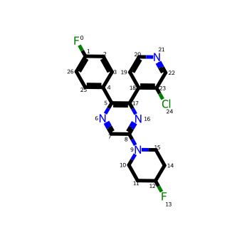 Fc1ccc(-c2ncc(N3CCC(F)CC3)nc2-c2ccncc2Cl)cc1